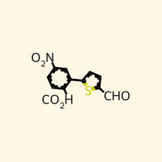 O=Cc1ccc(-c2cc([N+](=O)[O-])ccc2C(=O)O)s1